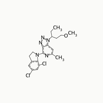 CCC(CCOC)n1nnc2c(N3CCc4cc(Cl)cc(Cl)c43)nc(C)cc21